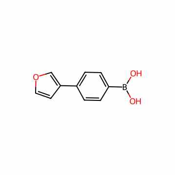 OB(O)c1ccc(-c2ccoc2)cc1